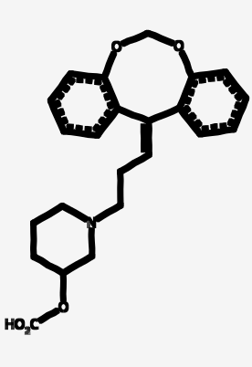 O=C(O)OC1CCCN(CCC=C2c3ccccc3OCOc3ccccc32)C1